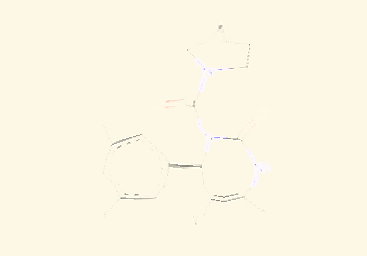 CC1=C(C#N)C(c2cc(F)cc(F)c2)N(C(=O)N2CCCC2)C(=O)N1